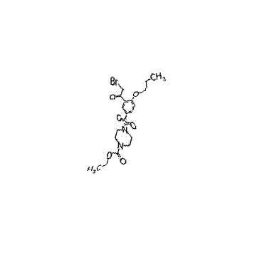 CCCOc1ccc(S(=O)(=O)N2CCN(C(=O)OCC)CC2)cc1C(=O)CBr